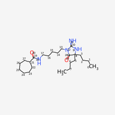 CCCCC1(CCCC)NC(=N)N(CCCCCNC(=O)C2CCCCCC2)C1=O